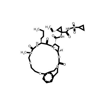 C=C[C@@H]1C[C@]1(NC(=O)[C@@H]1C[C@@H]2CN1C(=O)[C@H](CCCC)NC(=O)N(C)CCCCCc1cccc3c1CN(C3)C(=O)O2)C(=O)NS(=O)(=O)C1CC1